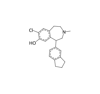 CN1CCc2cc(Cl)c(O)cc2C(c2ccc3c(c2)CCC3)C1